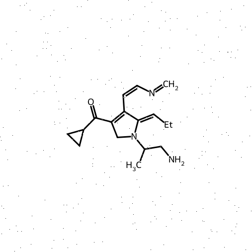 C=N/C=C\C1=C(C(=O)C2CC2)CN(C(C)CN)/C1=C\CC